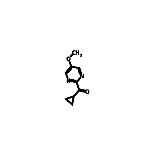 COc1cnc(C(=O)C2CC2)nc1